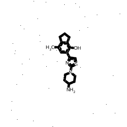 Cc1cc(-c2csc(N3CCC(N)CC3)n2)c(O)c2c1CCC2